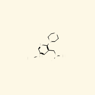 CN(C)Cc1cc(BO)cnc1N1CCOCC1